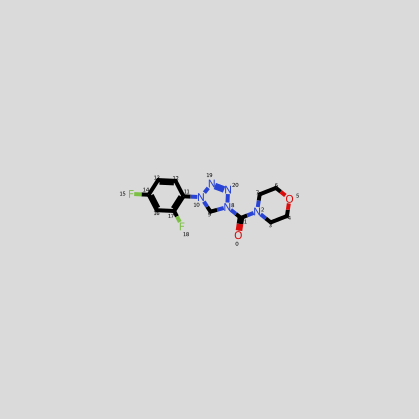 O=C(N1CCOCC1)N1CN(c2ccc(F)cc2F)N=N1